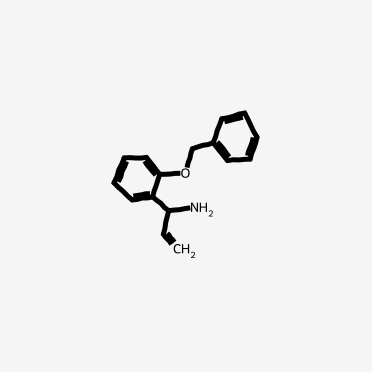 C=CC(N)c1ccccc1OCc1ccccc1